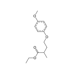 CCOC(=O)C(C)CCOc1ccc(OC)cc1